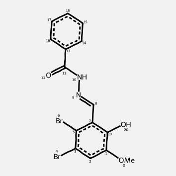 COc1cc(Br)c(Br)c(/C=N/NC(=O)c2ccccc2)c1O